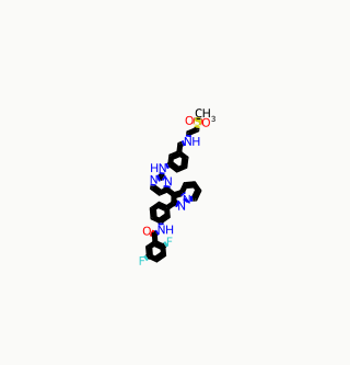 CS(=O)(=O)CCNCc1cccc(Nc2nccc(-c3c(-c4cccc(NC(=O)c5cc(F)ccc5F)c4)nn4ccccc34)n2)c1